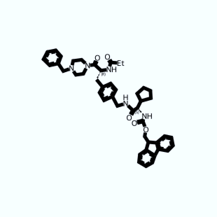 CCC(=O)N[C@H](Cc1ccc(CNC(=O)[C@@H](NC(=O)OCC2c3ccccc3-c3ccccc32)C2CCCC2)cc1)C(=O)N1CCN(Cc2ccccc2)CC1